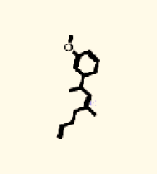 C=CCC/C(C)=C\C(C)C1C=C(OC)C=CC1